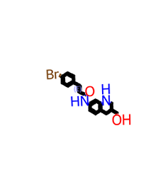 O=C(/C=C/c1ccc(Br)cc1)Nc1ccc2c(c1)NCC(CO)C2